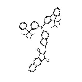 CC(C)C1(C(C)C)c2ccccc2-c2ccc(N(c3ccc4c(c3)C(C(C)C)(C(C)C)c3ccccc3-4)c3ccc4cc(C=C5C(=O)c6cc7ccccc7cc6C5=O)ccc4c3)cc21